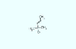 C/C=C/C(C)(C)[O]